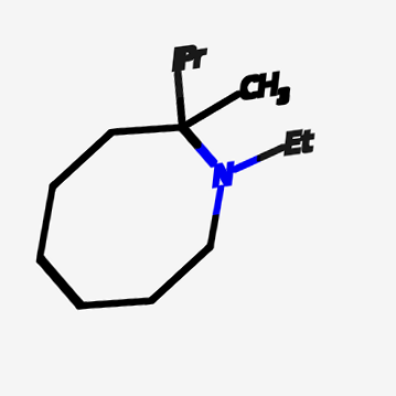 CCN1CCCCCCC1(C)C(C)C